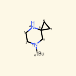 CC(C)(C)N1CCNC2(CC2)C1